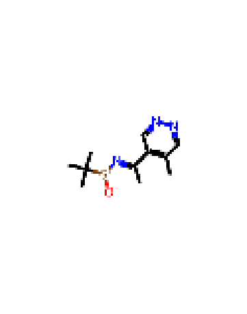 C/C(=N\[S+]([O-])C(C)(C)C)c1cnncc1C